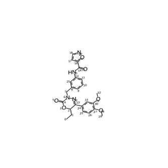 CCC1OC(=O)N(Cc2cccc(NC(=O)c3ccno3)c2)N=C1c1ccc(OC)c(OC)c1